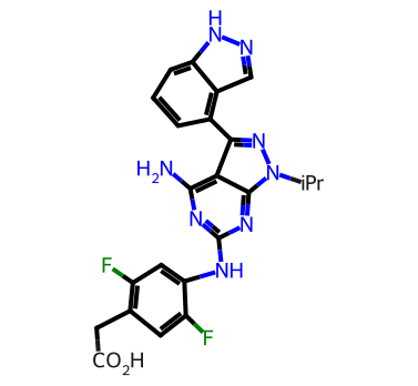 CC(C)n1nc(-c2cccc3[nH]ncc23)c2c(N)nc(Nc3cc(F)c(CC(=O)O)cc3F)nc21